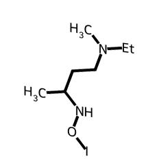 CCN(C)CCC(C)NOI